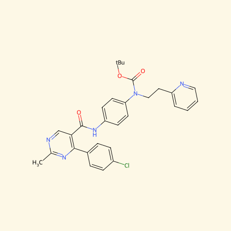 Cc1ncc(C(=O)Nc2ccc(N(CCc3ccccn3)C(=O)OC(C)(C)C)cc2)c(-c2ccc(Cl)cc2)n1